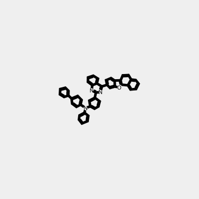 c1ccc(-c2ccc(N(c3ccccc3)c3cccc(-c4nc(-c5ccc6c(c5)oc5c7ccccc7ccc65)c5ccccc5n4)c3)cc2)cc1